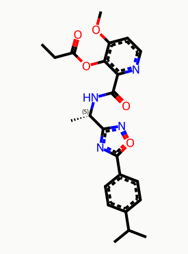 CCC(=O)Oc1c(OC)ccnc1C(=O)N[C@@H](C)c1noc(-c2ccc(C(C)C)cc2)n1